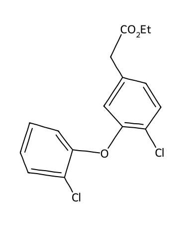 CCOC(=O)Cc1ccc(Cl)c(Oc2ccccc2Cl)c1